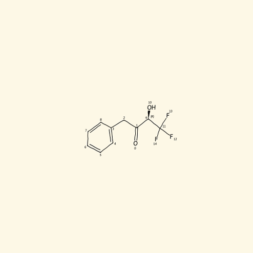 O=C(Cc1ccccc1)[C@@H](O)C(F)(F)F